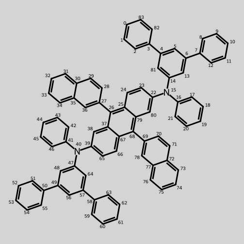 c1ccc(-c2cc(-c3ccccc3)cc(N(c3ccccc3)c3ccc4c(-c5ccc6ccccc6c5)c5cc(N(c6ccccc6)c6cc(-c7ccccc7)cc(-c7ccccc7)c6)ccc5c(-c5ccc6ccccc6c5)c4c3)c2)cc1